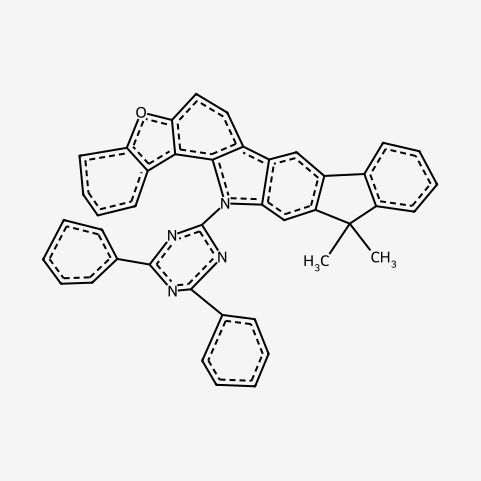 CC1(C)c2ccccc2-c2cc3c4ccc5oc6ccccc6c5c4n(-c4nc(-c5ccccc5)nc(-c5ccccc5)n4)c3cc21